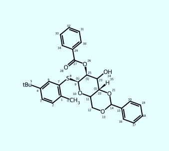 Cc1ccc(C(C)(C)C)cc1S[C@@H]1OC2COC(c3ccccc3)O[C@H]2C(O)[C@@H]1OC(=O)c1ccccc1